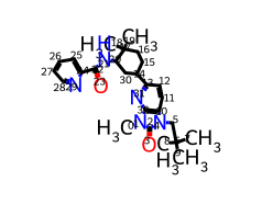 Cn1c(=O)n(CC(C)(C)C)c2ccc(C3CCC(C)(C)C(NC(=O)c4ccccn4)C3)nc21